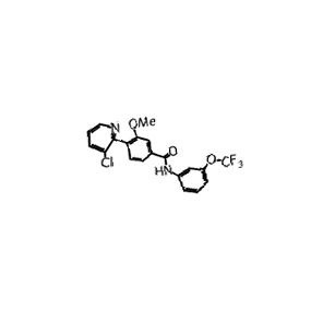 COc1cc(C(=O)Nc2cccc(OC(F)(F)F)c2)ccc1-c1ncccc1Cl